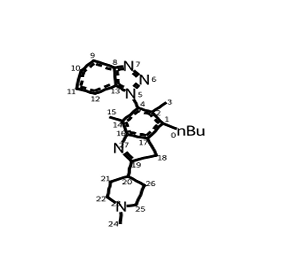 CCCCc1c(C)c(-n2nnc3ccccc32)c(C)c2c1CC(C1CCN(C)CC1)=N2